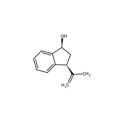 C=C(C)[C@@H]1C[C@H](O)c2ccccc21